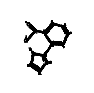 O=C(Cl)c1ccccc1-c1nccs1